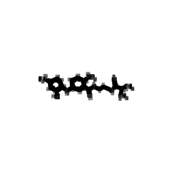 CN(C)C(=O)OCCOC(=O)c1cc(Oc2ccc(C(F)(F)F)cc2Cl)ccc1[N+](=O)[O-]